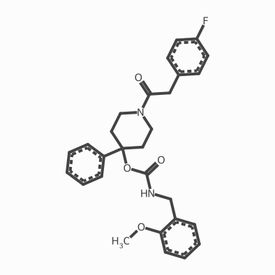 COc1ccccc1CNC(=O)OC1(c2ccccc2)CCN(C(=O)Cc2ccc(F)cc2)CC1